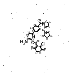 CC(Oc1nc(-c2ccc(C(=O)N3CCC[C@@H]3CN3CCCC3)cc2)cnc1N)c1c(F)ccc(F)c1Cl